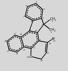 CC1(C)c2ccccc2-c2c1c1c(c3ccccc23)OCC=C1Br